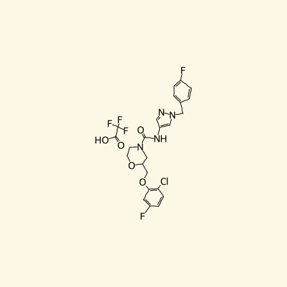 O=C(Nc1cnn(Cc2ccc(F)cc2)c1)N1CCOC(COc2cc(F)ccc2Cl)C1.O=C(O)C(F)(F)F